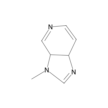 CN1C=NC2C=CN=CC21